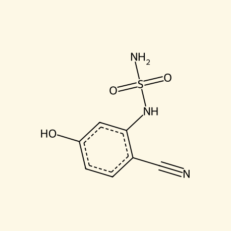 N#Cc1ccc(O)cc1NS(N)(=O)=O